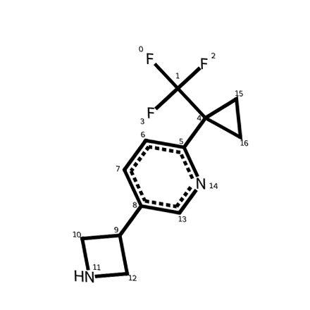 FC(F)(F)C1(c2ccc(C3CNC3)cn2)CC1